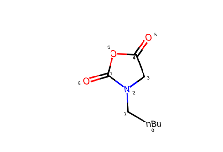 CCCCCN1CC(=O)OC1=O